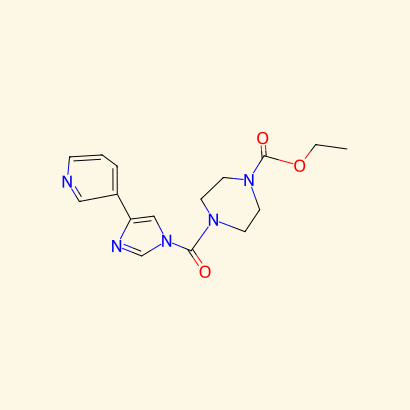 CCOC(=O)N1CCN(C(=O)n2cnc(-c3cccnc3)c2)CC1